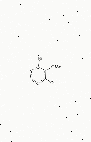 COc1c([O])cccc1Br